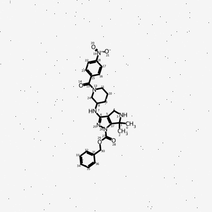 CC1(C)NCc2c(NC3CCCN(C(=O)c4ccc([N+](=O)[O-])cc4)C3)nn(C(=O)OCc3ccccc3)c21